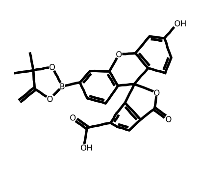 C=C1OB(c2ccc3c(c2)Oc2cc(O)ccc2C32OC(=O)c3ccc(C(=O)O)cc32)OC1(C)C